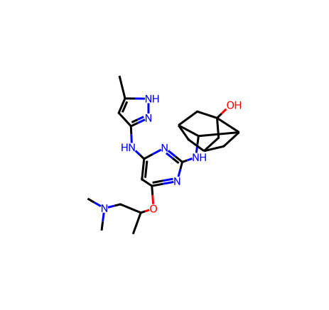 Cc1cc(Nc2cc(OC(C)CN(C)C)nc(NC3C4CC5CC3C(O)(C5)C4)n2)n[nH]1